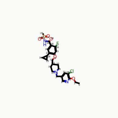 CCOc1ncc(CN2CCC(COc3cc(F)c(C(=O)NS(C)(=O)=O)cc3C3CC3)CC2)cc1Cl